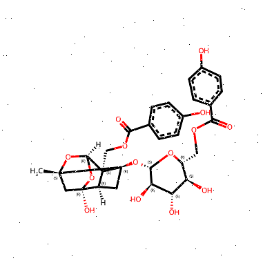 C[C@@]12C[C@@]3(O)O[C@@H](O1)[C@]1(COC(=O)c4ccc(O)cc4)[C@H]3C[C@@]12O[C@@H]1O[C@H](COC(=O)c2ccc(O)cc2)[C@@H](O)[C@H](O)[C@H]1O